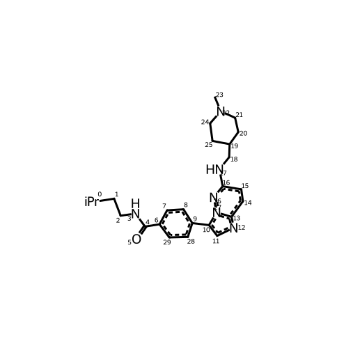 CC(C)CCNC(=O)c1ccc(-c2cnc3ccc(NCC4CCN(C)CC4)nn23)cc1